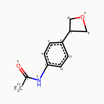 O=C(Nc1ccc(C2COC2)cc1)C(F)(F)F